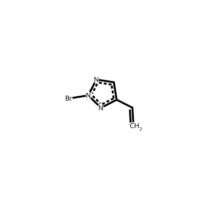 C=Cc1cnn(Br)n1